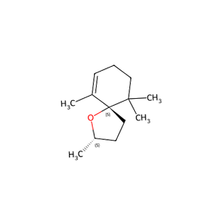 CC1=CCCC(C)(C)[C@@]12CC[C@H](C)O2